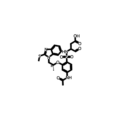 CSc1nc2ccccc2n1C[C@@H](C)Oc1cc(NC(C)=O)ccc1S(=O)(=O)NC(C=O)CC(=O)O